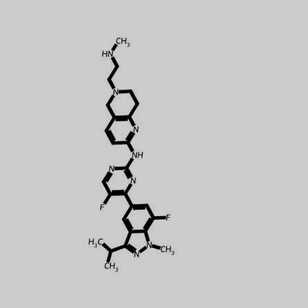 CNCCN1CCc2nc(Nc3ncc(F)c(-c4cc(F)c5c(c4)c(C(C)C)nn5C)n3)ccc2C1